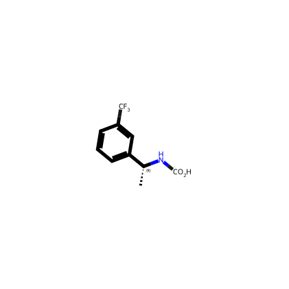 C[C@@H](NC(=O)O)c1cccc(C(F)(F)F)c1